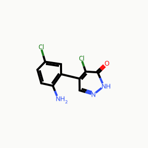 Nc1ccc(Cl)cc1-c1cn[nH]c(=O)c1Cl